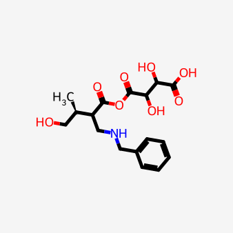 C[C@H](CO)C(CNCc1ccccc1)C(=O)OC(=O)C(O)C(O)C(=O)O